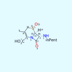 CCCCCN[C@@H]1C(=O)N2C(C(=O)O)=C(C)C[S+]([O-])[C@@H]12